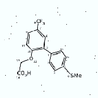 CSc1ccc(-c2cc(C(F)(F)F)ccc2OCC(=O)O)cc1